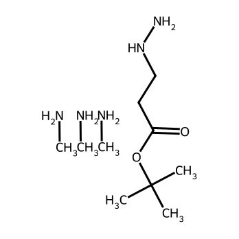 CC(C)(C)OC(=O)CCNN.CN.CN.CN